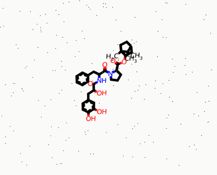 CC1(C)C2CCC1(C)C(OC(=O)C1CCCN1C(=O)C(Cc1ccccc1)NC(=O)C(O)Cc1ccc(O)c(O)c1)C2